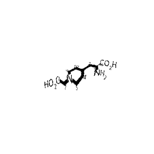 N[C@H](CC1CCN(CC(=O)O)CC1)C(=O)O